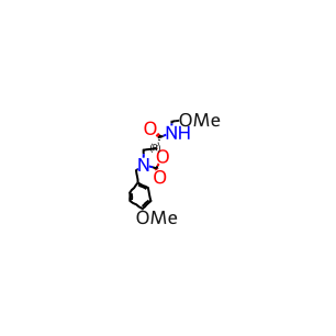 COCNC(=O)[C@H]1CN(Cc2ccc(OC)cc2)C(=O)O1